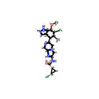 CCOc1c(F)c(CC)c(-c2cn3cc(NC(=O)[C@@H]4C[C@@H]4F)nc3cn2)c2cn[nH]c12